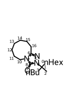 CCCCCCC(C)(CCCC)n1nc2n(c1=O)CCCCCCC2